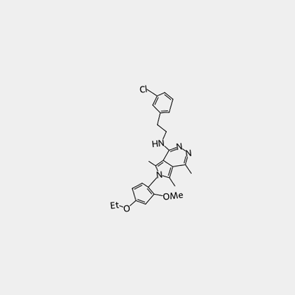 CCOc1ccc(-n2c(C)c3c(C)nnc(NCCc4cccc(Cl)c4)c3c2C)c(OC)c1